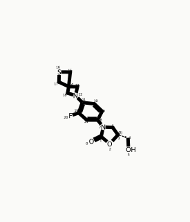 O=C1O[C@@H](CO)CN1c1ccc(N2CC3(CSC3)C2)c(F)c1